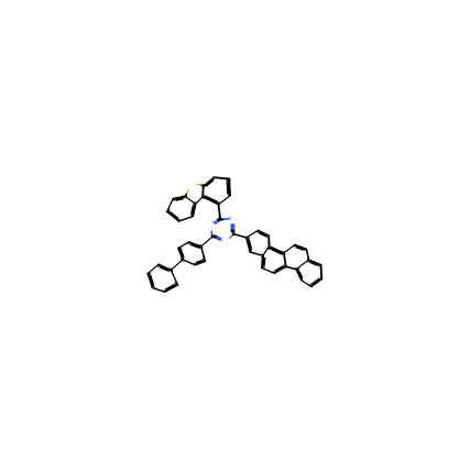 c1ccc(-c2ccc(-c3nc(-c4ccc5c(ccc6c7ccccc7ccc56)c4)nc(-c4cccc5sc6ccccc6c45)n3)cc2)cc1